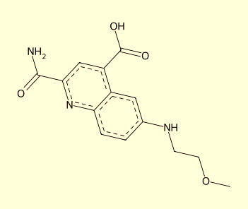 COCCNc1ccc2nc(C(N)=O)cc(C(=O)O)c2c1